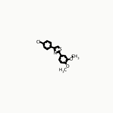 COc1ccc(-c2nc(-c3ccc(Cl)cc3)cs2)cc1OC